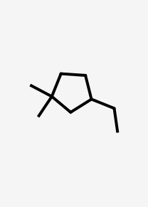 CCC1CCC(C)(C)C1